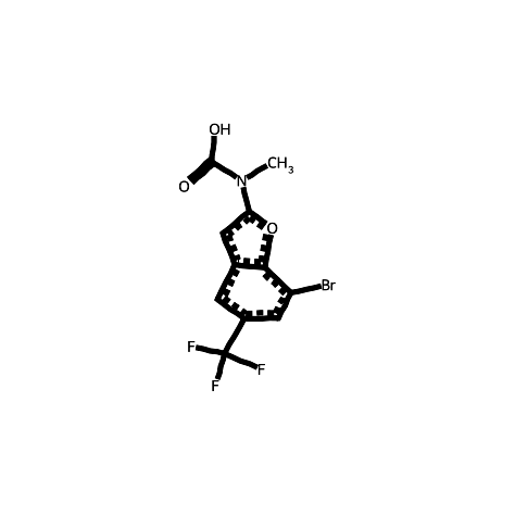 CN(C(=O)O)c1cc2cc(C(F)(F)F)cc(Br)c2o1